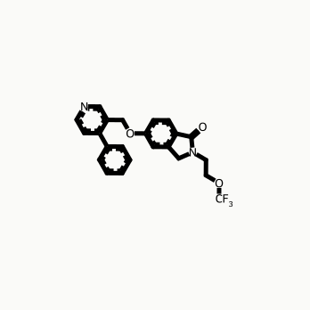 O=C1c2ccc(OCc3cnccc3-c3ccccc3)cc2CN1CCOC(F)(F)F